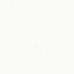 CC(C(=O)C(C)c1sccc1NCc1c[nH]nc1-c1ccc(C(F)(F)F)cc1)c1sccc1NCc1c[nH]nc1-c1ccc(C(F)(F)F)cc1